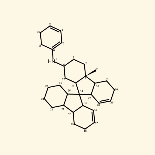 C[C@]12CCC(NC3=CC=CCC3)CC1C1(C3C=CCCC3C3CCCCC31)C1C=CCCC12